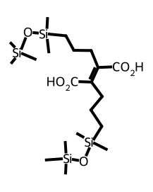 C[Si](C)(C)O[Si](C)(C)CCCC(C(=O)O)=C(CCC[Si](C)(C)O[Si](C)(C)C)C(=O)O